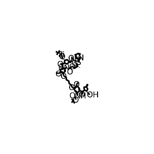 C=C1CC(C(=O)c2cc(OC)c(OCCCCCOc3cc(NC(=O)OC(C)(C)C)c(C(=O)C4CC(=C)C[C@H]4CO)cc3OC)cc2NC(=O)OC[C@@H](C)SSc2ncccc2[N+](=O)[O-])[C@H](CO[Si](C)(C)C(C)(C)C)C1